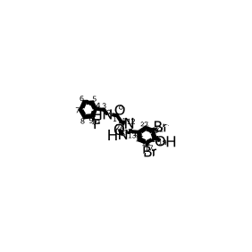 O=C(NCc1ccccc1F)C1=NC(c2cc(Br)c(O)c(Br)c2)NO1